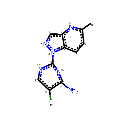 Cc1ccc2c(cnn2-c2ncc(F)c(N)n2)n1